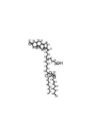 CCCCCCCCOC(CCCCCN(CCCCO)CCC[C@@H](C)C1CCC2C3CCC4C[C@H](OC)CC[C@]4(C)C3CC[C@@]21C)O[Si](C)(C)OCCCCCCCC